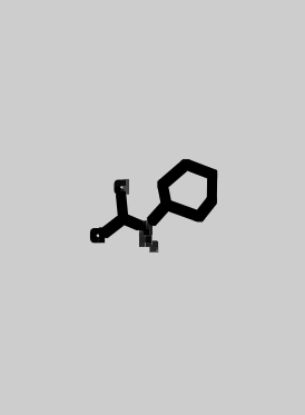 ClC(Cl)[SiH2]C1CCCCC1